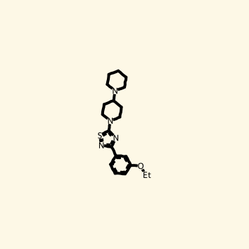 CCOc1cccc(-c2nsc(N3CCC(N4CCCCC4)CC3)n2)c1